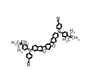 CC(C)(C)c1ccc(N(c2ccc(C#N)cc2)c2ccc3cc4c(cc3c2)oc2cc3oc5cc6cc(N(c7ccc(C#N)cc7)c7ccc(C(C)(C)C)cc7)ccc6cc5c3cc24)cc1